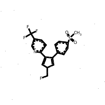 CS(=O)(=O)c1ccc(C2=CC(CF)C=C2c2ccc(C(F)(F)F)cn2)cc1